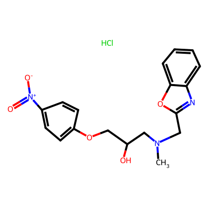 CN(Cc1nc2ccccc2o1)CC(O)COc1ccc([N+](=O)[O-])cc1.Cl